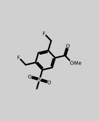 COC(=O)c1cc(S(C)(=O)=O)c(CF)cc1CF